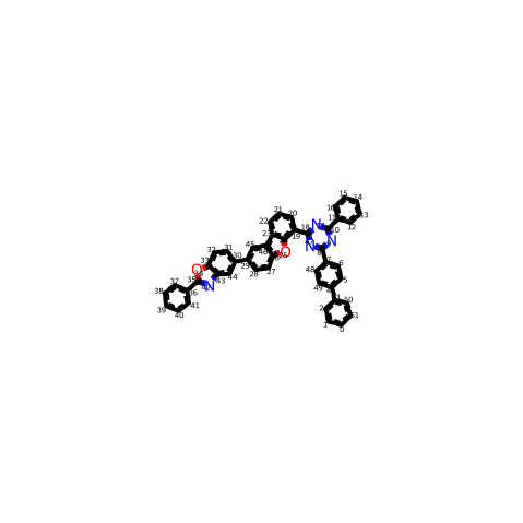 c1ccc(-c2ccc(-c3nc(-c4ccccc4)nc(-c4cccc5c4oc4ccc(-c6ccc7oc(-c8ccccc8)nc7c6)cc45)n3)cc2)cc1